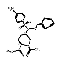 COC(=O)[C@@H]1CC[C@@H](N(OCc2ccccc2)S(=O)(=O)c2ccc([N+](=O)[O-])cc2)CN1C(=O)C(F)(F)F